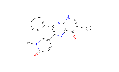 CC(C)n1cc(-c2nc3c(=O)c(C4CC4)c[nH]c3nc2-c2ccccc2)ccc1=O